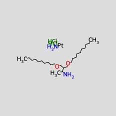 CCCCCCCCCCOCC(COCCCCCCCCCC)C(C)N.Cl.Cl.[NH2][Pt]